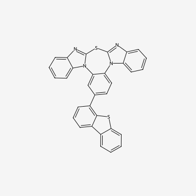 c1ccc2c(c1)nc1sc3nc4ccccc4n3c3cc(-c4cccc5c4sc4ccccc45)ccc3n12